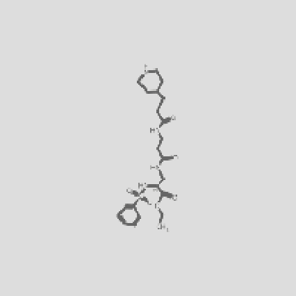 CCOC(=O)[C@H](CNC(=O)CCNC(=O)CCC1CCNCC1)NS(=O)(=O)c1ccccc1